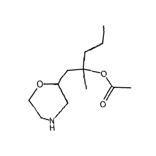 CCCC(C)(CC1CNCCO1)OC(C)=O